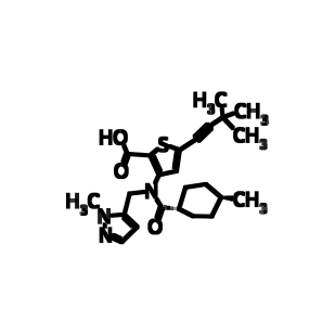 Cn1nccc1CN(c1cc(C#CC(C)(C)C)sc1C(=O)O)C(=O)[C@H]1CC[C@H](C)CC1